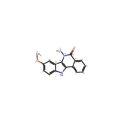 COc1ccc2[nH]c3c4ccccc4c(=O)n(C)c3c2c1